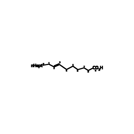 CCCCCCCCC=CCCCCCC(=O)O